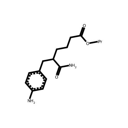 CC(C)OC(=O)CCCC(Cc1ccc(N)cc1)C(N)=O